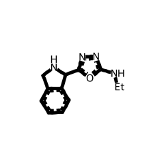 CCNc1nnc(C2NCc3ccccc32)o1